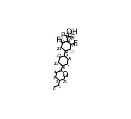 CCC1CCC(C2CCC(C3CC(F)C(C(O)(F)F)C(F)C3)CC2)OC1